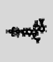 CC(C)(O)[C@H]1C[C@H](n2cc3cc(NC(=O)c4cccc(C5CC5)[n+]4O)c(OCC4CC4)cc3n2)C1